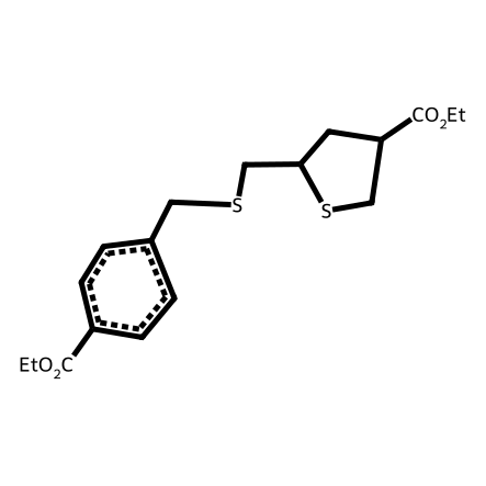 CCOC(=O)c1ccc(CSCC2CC(C(=O)OCC)CS2)cc1